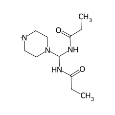 CCC(=O)NC(NC(=O)CC)N1CC[N]CC1